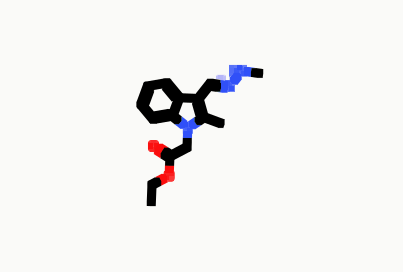 CCOC(=O)Cn1c(C)c(/C=N/NC)c2ccccc21